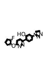 Oc1cc(-n2ccnn2)ccc1-c1ccc(O[C@H]2CC=C[C@@H]2F)nn1